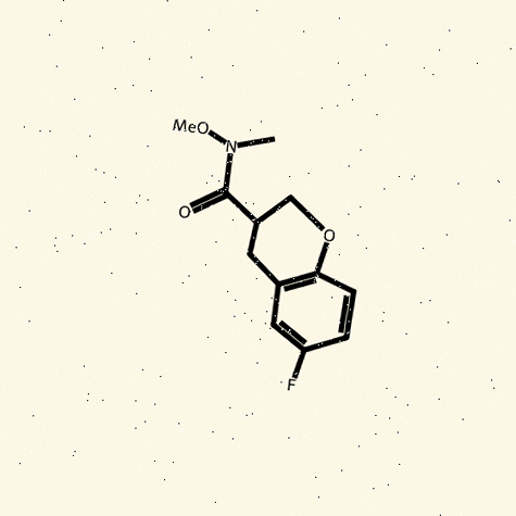 CON(C)C(=O)C1COc2ccc(F)cc2C1